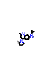 Cc1cc(N2CCC[C@H]2C)c2ccc(N(C)C3CC3)cc2n1